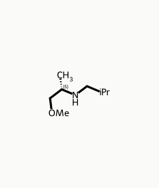 COC[C@H](C)NCC(C)C